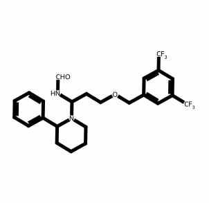 O=CNC(CCOCc1cc(C(F)(F)F)cc(C(F)(F)F)c1)N1CCCCC1c1ccccc1